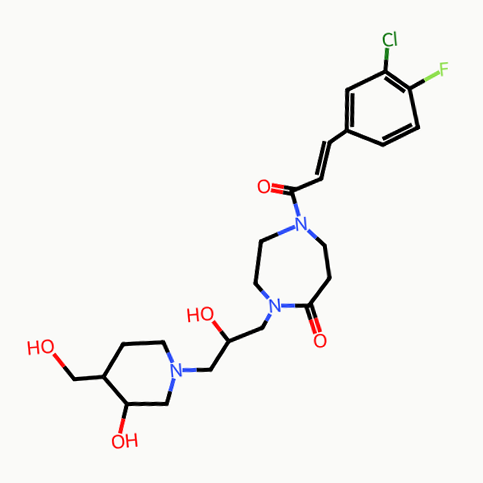 O=C(C=Cc1ccc(F)c(Cl)c1)N1CCC(=O)N(CC(O)CN2CCC(CO)C(O)C2)CC1